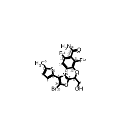 Cc1ccc(-c2nc(C(CO)Oc3ccc(F)c(C(N)=O)c3F)oc2Br)s1